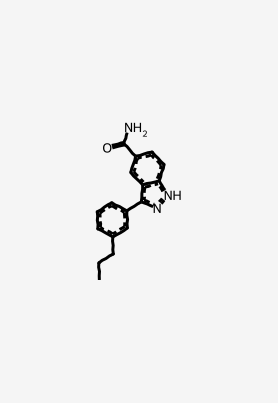 CCCc1cccc(-c2n[nH]c3ccc(C(N)=O)cc23)c1